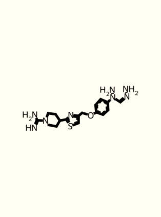 N=C(N)N1CCC(c2nc(COc3ccc(N(N)/C=N\N)cc3)cs2)CC1